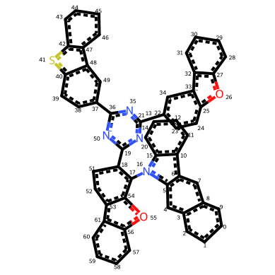 c1ccc2cc3c(cc2c1)c1ccccc1n3-c1c(-c2nc(-c3ccc4oc5ccccc5c4c3)nc(-c3ccc4sc5ccccc5c4c3)n2)ccc2c1oc1ccccc12